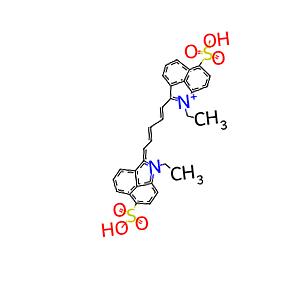 CCn1\c(=C/C=C/C=C/C2=[N+](CC)c3ccc(S(=O)(=O)O)c4cccc2c34)c2cccc3c(S(=O)(=O)O)ccc1c32